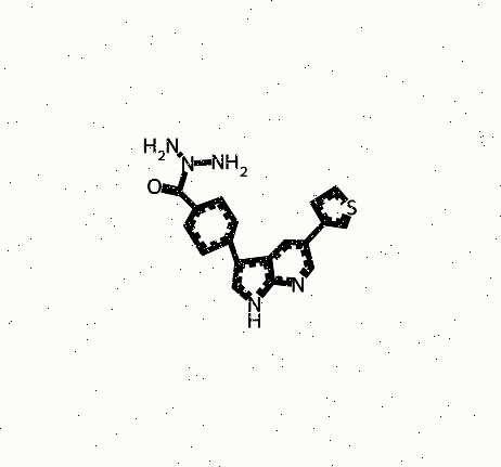 NN(N)C(=O)c1ccc(-c2c[nH]c3ncc(-c4ccsc4)cc23)cc1